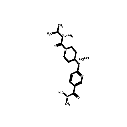 CC(C)[C@H](N)C(=O)N1CCC(Oc2ccc(C(=O)N(C)C)cn2)CC1.Cl.Cl